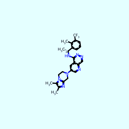 Cc1nc2n(c1C)CCN(c1cnc3cnnc(N[C@H](C)c4cccc(C(F)(F)F)c4C)c3c1)C2